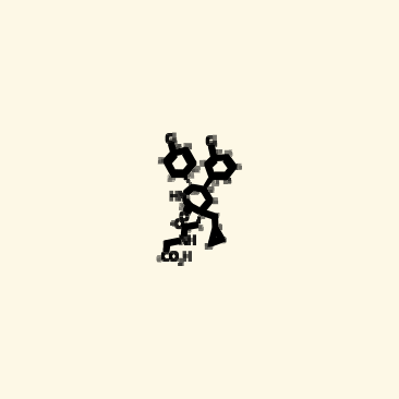 O=C(O)CNC(=O)C[C@@]1(CC2CC2)C[C@H](c2cccc(Cl)c2)[C@@H](c2ccc(Cl)cc2)NC1=O